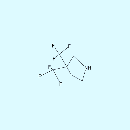 FC(F)(F)C1(C(F)(F)F)CCNC1